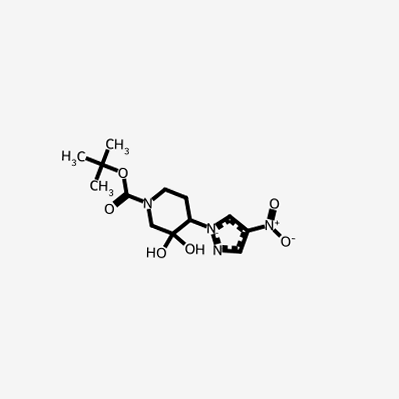 CC(C)(C)OC(=O)N1CCC(n2cc([N+](=O)[O-])cn2)C(O)(O)C1